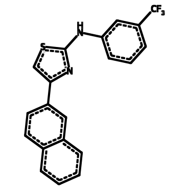 FC(F)(F)c1cccc(Nc2nc(-c3ccc4ccccc4c3)cs2)c1